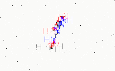 CC(C)(C)OC(=O)NCCCN(Cc1ccc2c(n1)NC(=O)CO2)C(=O)O